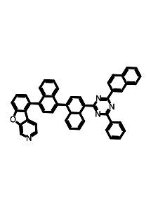 C1=CC2C(c3nc(-c4ccccc4)nc(-c4ccc5ccccc5c4)n3)=CC=C(c3ccc(-c4cccc5oc6cnccc6c45)c4ccccc34)C2C=C1